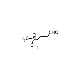 C[Si](C)(C)CCCC=O